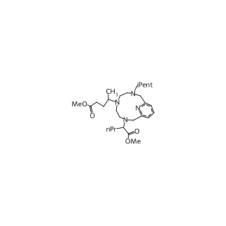 CCCC(C)N1CCN(C(C)CCC(=O)OC)CCN(C(CCC)C(=O)OC)Cc2cccc(n2)C1